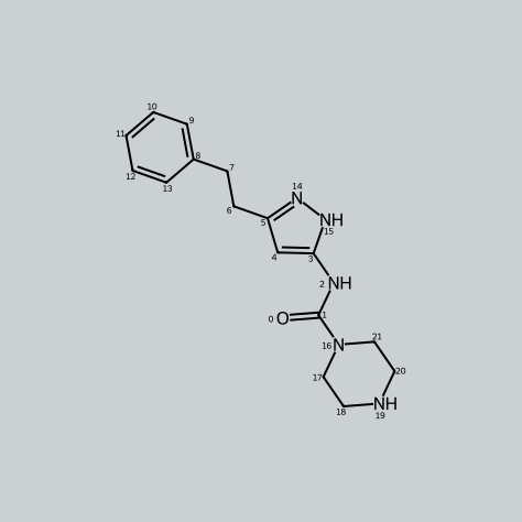 O=C(Nc1cc(CCc2ccccc2)n[nH]1)N1CCNCC1